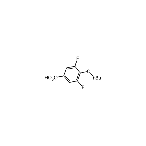 CCCCOc1c(F)cc(C(=O)O)cc1F